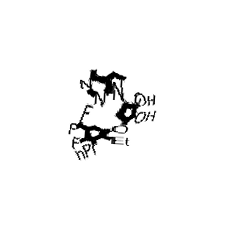 CCCc1c(F)c(C(F)F)cc(OC2CC(n3ccc4c(C)ncnc43)[C@H](O)[C@@H]2O)c1CC